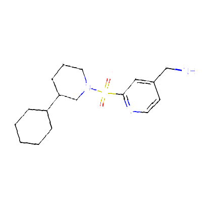 NCc1ccnc(S(=O)(=O)N2C[CH]CC(C3CCCCC3)C2)c1